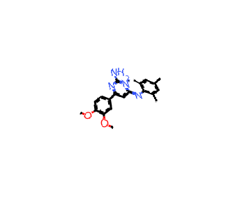 COc1ccc(-c2c/c(=N/c3c(C)cc(C)cc3C)n(C)c(N)n2)cc1OC